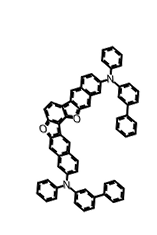 c1ccc(-c2cccc(N(c3ccccc3)c3ccc4cc5c(cc4c3)oc3c5ccc4oc5cc6cc(N(c7ccccc7)c7cccc(-c8ccccc8)c7)ccc6cc5c43)c2)cc1